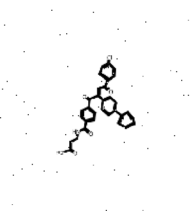 O=C(O)CCNC(=O)c1ccc(C(=O)C(=CC(=O)c2ccc(Cl)cc2)c2ccc(-c3ccccc3)cc2)cc1